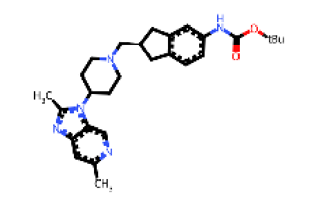 Cc1cc2nc(C)n(C3CCN(C[C@@H]4Cc5ccc(NC(=O)OC(C)(C)C)cc5C4)CC3)c2cn1